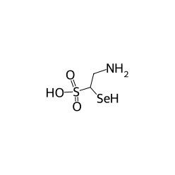 NCC([SeH])S(=O)(=O)O